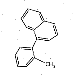 Cc1ccccc1-c1cccc2ccccc12